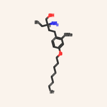 COc1cc(OCCCCCCCC(C)C)ccc1CC[C@@](N)(CO)CC(C)C